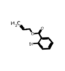 C=CCOC(=O)c1ccccc1CC